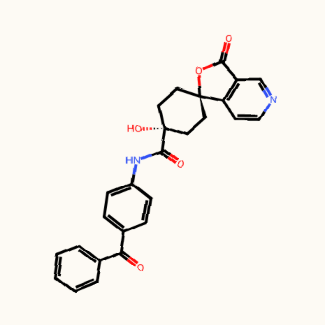 O=C(c1ccccc1)c1ccc(NC(=O)[C@]2(O)CC[C@@]3(CC2)OC(=O)c2cnccc23)cc1